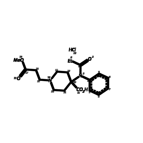 CCC(=O)N(c1ccccc1)C1(C(=O)O)CCN(CCC(=O)OC)CC1.Cl